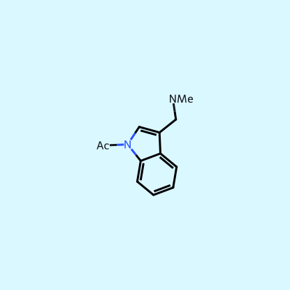 CNCc1cn(C(C)=O)c2ccccc12